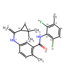 C=C(Nc1ccc(C)c(C(=O)Nc2c(F)ccc(CC)c2F)c1)C1CC1(C)C